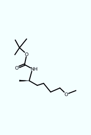 COCCCC[C@@H](C)NC(=O)OC(C)(C)C